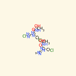 CC(CO)NC(=O)c1cc(-c2ccc(Cl)cc2)nc(-c2cnc(Cl)nc2)n1.CC(CO)NC(=O)c1cc(-c2ccc(Cl)cc2)nc(-c2cnn(C3CC3)c2)n1